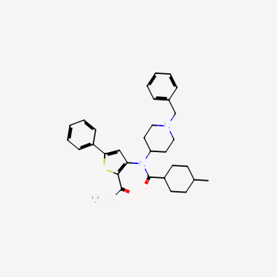 COC(=O)c1sc(-c2ccccc2)cc1N(C(=O)C1CCC(C)CC1)C1CCN(Cc2ccccc2)CC1